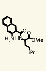 COC(=O)C(CCC(C)C)NC(=O)c1cc2ccccc2cc1N